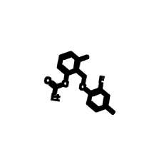 CCC(=O)Oc1cccc(C)c1COc1ccc(C)cc1F